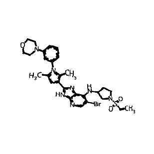 CCS(=O)(=O)N1CCC(Nc2c(Br)cnc3[nH]c(-c4cc(C)n(-c5cccc(N6CCOCC6)c5)c4C)nc23)C1